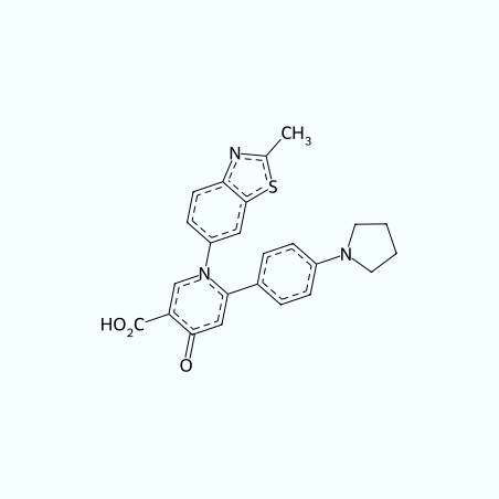 Cc1nc2ccc(-n3cc(C(=O)O)c(=O)cc3-c3ccc(N4CCCC4)cc3)cc2s1